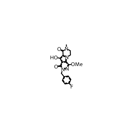 COc1nn(Cc2ccc(F)cc2)c(=O)c2c(O)c3n(c12)CCN(C)C3=O